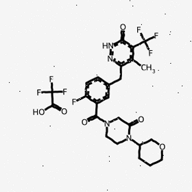 Cc1c(Cc2ccc(F)c(C(=O)N3CCN(C4CCCOC4)C(=O)C3)c2)n[nH]c(=O)c1C(F)(F)F.O=C(O)C(F)(F)F